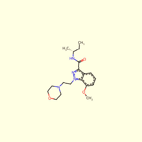 CC[C@@H](C)NC(=O)c1nn(CCN2CCOCC2)c2c(OC)cccc12